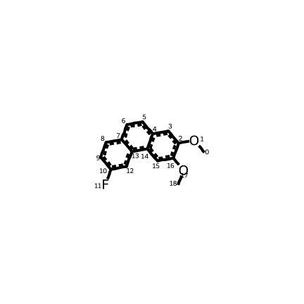 COc1cc2ccc3ccc(F)cc3c2cc1OC